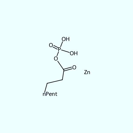 CCCCCCCC(=O)OP(=O)(O)O.[Zn]